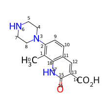 Cc1c(N2CCNCC2)ccc2cc(C(=O)O)c(=O)[nH]c12